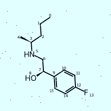 CCC[C@H](C)NC[C@H](O)c1ccc(F)cc1